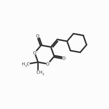 CC1(C)OC(=O)C(=CC2CCCCC2)C(=O)O1